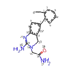 Cc1ccccc1-c1ccc2c(c1)CN(CC(N)=O)C(N)=N2